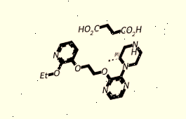 CCOc1ncccc1OCCOc1nccnc1N1CCNC[C@H]1C.O=C(O)CCC(=O)O